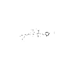 Cc1cc(F)c(COc2nsc(NC(=O)NCCCCN(CCO)CCO)c2C(N)=O)c(F)c1